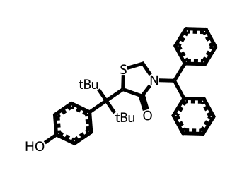 CC(C)(C)C(c1ccc(O)cc1)(C1SCN(C(c2ccccc2)c2ccccc2)C1=O)C(C)(C)C